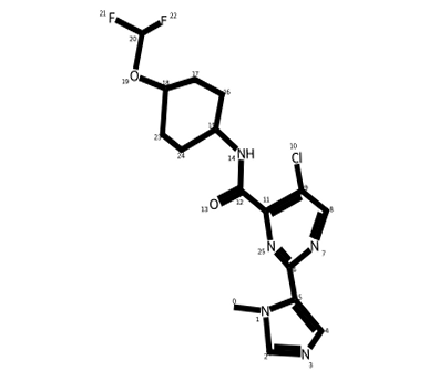 Cn1cncc1-c1ncc(Cl)c(C(=O)NC2CCC(OC(F)F)CC2)n1